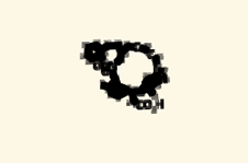 Cc1ccc2cc1CN1CC(CCCCCn3nnc4c(C)c(ccc43)C2CC(=O)O)CCc2ccccc2S1(=O)=O